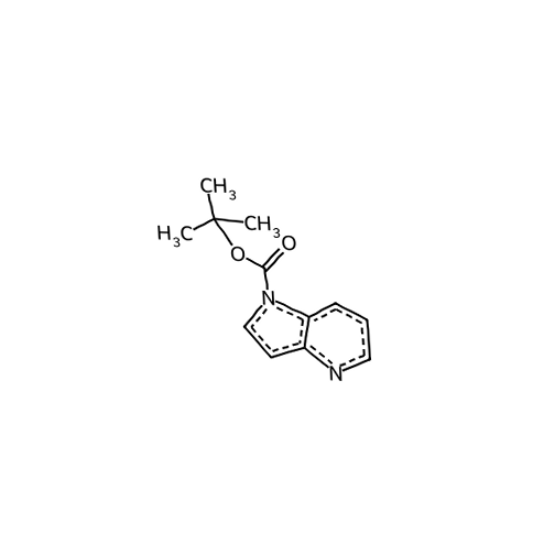 CC(C)(C)OC(=O)n1ccc2ncccc21